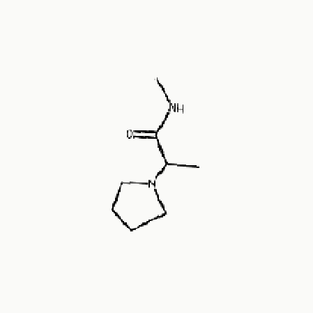 [CH2]NC(=O)C(C)N1CCCC1